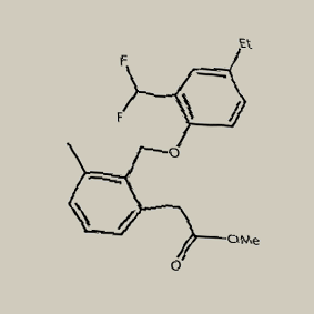 CCc1ccc(OCc2c(C)cccc2CC(=O)OC)c(C(F)F)c1